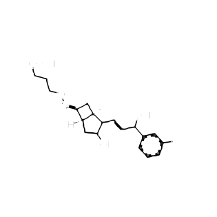 O=C(O)CCCON=C1C[C@H]2C(C=CC(O)c3cccc(C(F)(F)F)c3)C(O)C[C@H]12